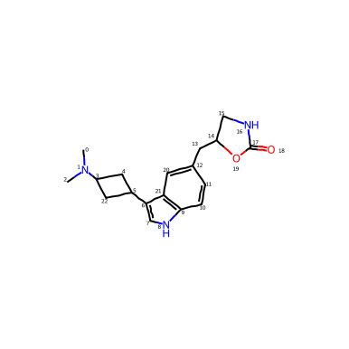 CN(C)C1CC(c2c[nH]c3ccc(CC4CNC(=O)O4)cc23)C1